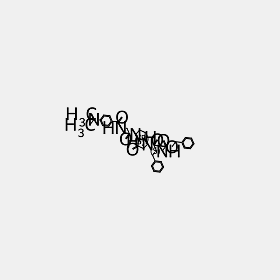 CN(C)c1ccc(C(=O)NCC(=O)N2CC[C@@H]3[C@H]2C(=O)CN3C(=O)[C@H](Cc2ccccc2)NC(=O)OCc2ccccc2)cc1